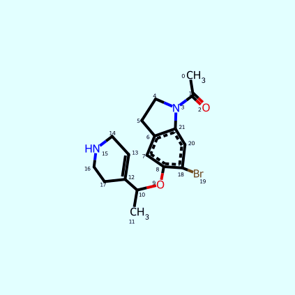 CC(=O)N1CCc2cc(OC(C)C3=CCNCC3)c(Br)cc21